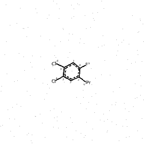 CC(C)c1cc(Cl)c(Cl)cc1F